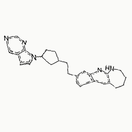 c1ncc2ccn(C3CCC(CCc4ccc5cc6c(nc5c4)NCCCC6)C3)c2n1